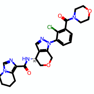 O=C(N[C@H]1COCc2c1cnn2-c1cccc(C(=O)N2CCOCC2)c1Cl)c1ncn2c1CCCC2